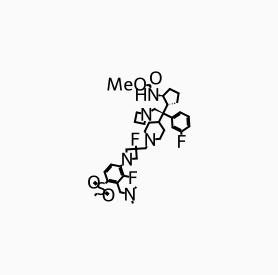 COC(=O)N[C@H]1CCC[C@@H]1[C@](CN1CCC1)(c1cccc(F)c1)C1CCN(CC2(F)CN(c3ccc(S(C)(=O)=O)c(CN(C)C)c3F)C2)CC1